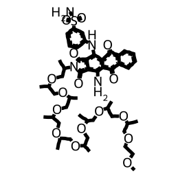 COCCOCC(C)OCC(C)OCC(C)OCC(C)OCC(C)OCC(C)OCC(C)OCC(C)OCC(C)n1c(=O)c2c(N)c3c(=O)c4ccccc4c(=O)c3c(Nc3cccc(S(N)(=O)=O)c3)c2c1=O